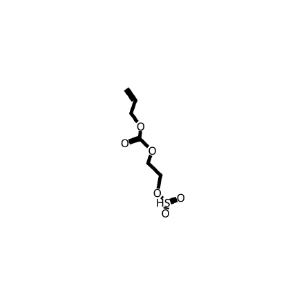 C=CCOC(=O)OCCO[SH](=O)=O